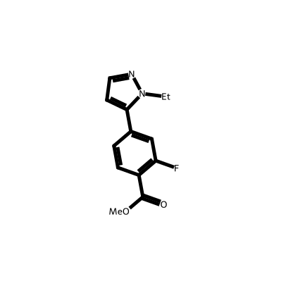 CCn1nccc1-c1ccc(C(=O)OC)c(F)c1